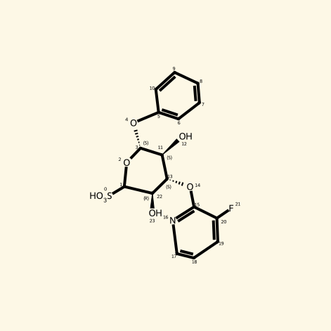 O=S(=O)(O)C1O[C@H](Oc2ccccc2)[C@@H](O)[C@H](Oc2ncccc2F)[C@H]1O